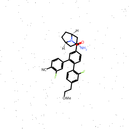 COCCc1ccc(-c2ccc(C(=O)N3[C@@H]4CC[C@H]3C[C@H](N)C4)cc2-c2ccc(C#N)c(F)c2)c(F)c1